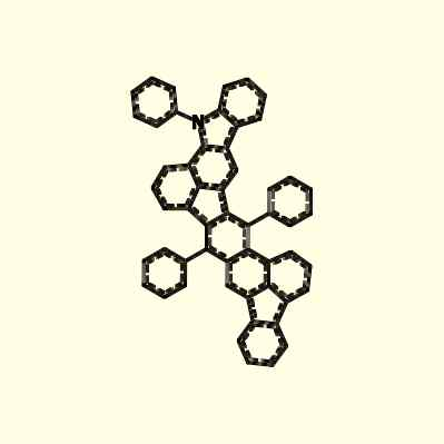 c1ccc(-c2c3cc4c5ccccc5c5cccc(c3c(-c3ccccc3)c3c6cc7c8ccccc8n(-c8ccccc8)c7c7cccc(c23)c67)c54)cc1